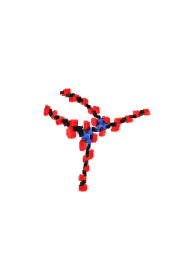 COCCOCCOCCOC(=O)CCn1c(=O)n(CCC(=O)OCCOCCOCCOC)c(=O)n(CCn2c(=O)n(CCC(=O)OCCOCCOCCOC)c(=O)n(CCC(=O)OCCOCCOCCOC)c2=O)c1=O